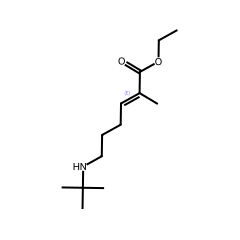 CCOC(=O)/C(C)=C/CCCNC(C)(C)C